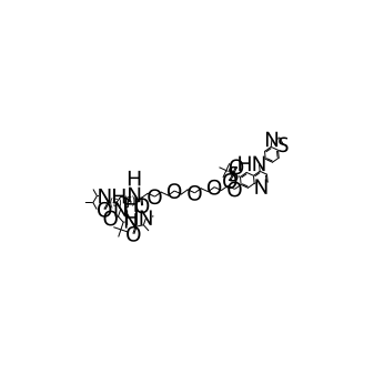 CNC(C)C(=O)NC(C(=O)N1C[C@@H](NC(=O)COCCOCCOCCOCCOc2cc3nccc(Nc4ccc5scnc5c4)c3cc2S(=O)(=O)C(C)(C)C)C[C@H]1C(=O)NC(C)C(C)C)C(C)(C)C